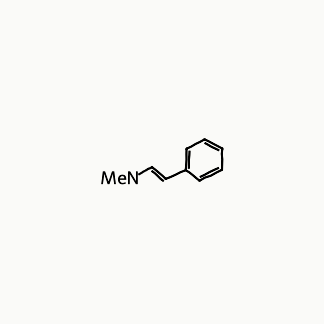 [CH2]NC=Cc1ccccc1